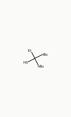 CCCCC(S)(CC)CCCC